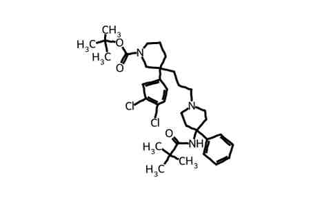 CC(C)(C)OC(=O)N1CCCC(CCCN2CCC(NC(=O)C(C)(C)C)(c3ccccc3)CC2)(c2ccc(Cl)c(Cl)c2)C1